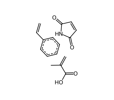 C=C(C)C(=O)O.C=Cc1ccccc1.O=C1C=CC(=O)N1